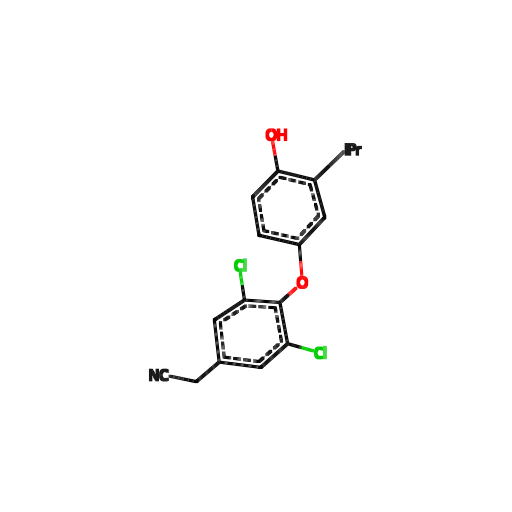 CC(C)c1cc(Oc2c(Cl)cc(CC#N)cc2Cl)ccc1O